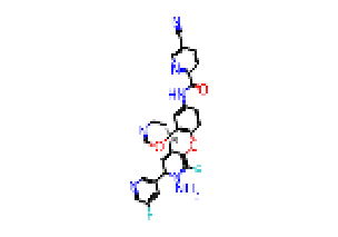 N#Cc1ccc(C(=O)Nc2ccc3c(c2)[C@@]2(CCN=CO2)C2=CC(c4cncc(F)c4)N(N)C(F)=C2O3)nc1